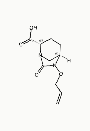 C=CCON1C(=O)N2C[C@H]1CC[C@H]2C(=O)O